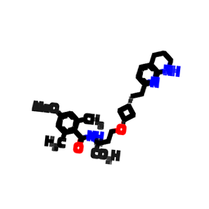 COc1cc(C)c(C(=O)N[C@@H](CCO[C@H]2C[C@@H](CCc3ccc4c(n3)NCCC4)C2)C(=O)O)c(C)c1